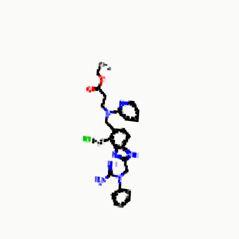 CCOC(=O)CCN(Cc1ccc2[nH]c(CN(C(=N)N)c3ccccc3)nc2c1C)c1ccccn1.Cl